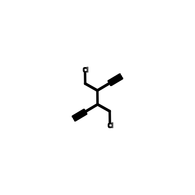 C#CC(CCl)C(C#C)CCl